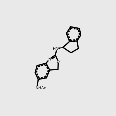 CC(=O)Nc1ccc2c(c1)COC(N[C@@H]1CCc3ccccc31)=N2